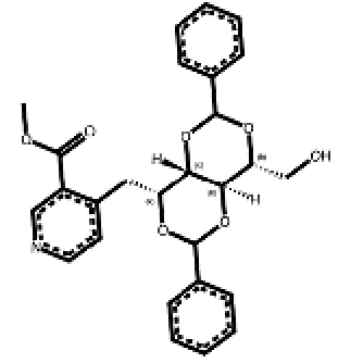 COC(=O)c1cnccc1C[C@H]1OC(c2ccccc2)O[C@H]2[C@H]1OC(c1ccccc1)O[C@@H]2CO